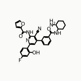 N#Cc1c(-c2cccc(C(=O)NC3CCCC[C@@H]3N)c2)cc(-c2ccc(F)cc2O)nc1NC(=O)c1ccco1